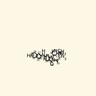 CP(C)(=O)c1cc(-n2c3nc(Nc4ccc5c(c4)CCNC5)ncc3c(=O)n2C2CC2)ccn1